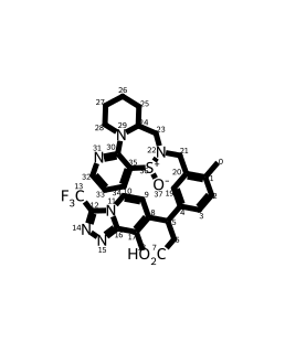 Cc1ccc(C(CC(=O)O)c2ccn3c(C(F)(F)F)nnc3c2C)cc1CN1CC2CCCCN2c2ncccc2[S+]1[O-]